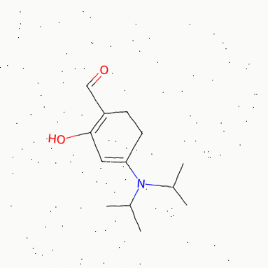 CC(C)N(C1=CC(O)=C(C=O)CC1)C(C)C